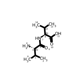 CC(C)[C@H](N)C(=O)N[C@H](C(=O)O)C(C)C